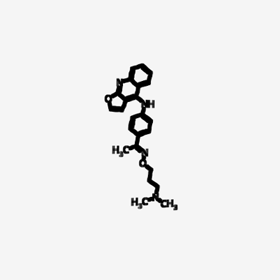 CC(=NOCCCN(C)C)c1ccc(Nc2c3ccccc3nc3occc23)cc1